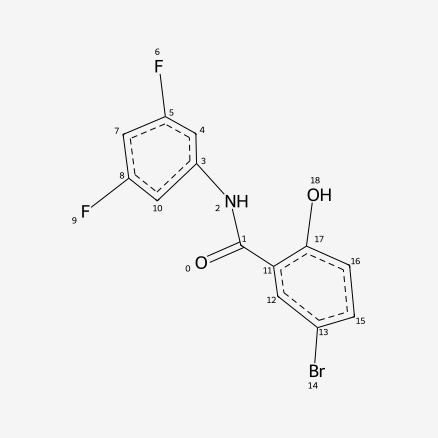 O=C(Nc1cc(F)cc(F)c1)c1cc(Br)ccc1O